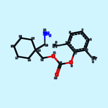 CC(C)c1cccc(C(C)C)c1OC(=O)OCC1(CN)CCCCC1